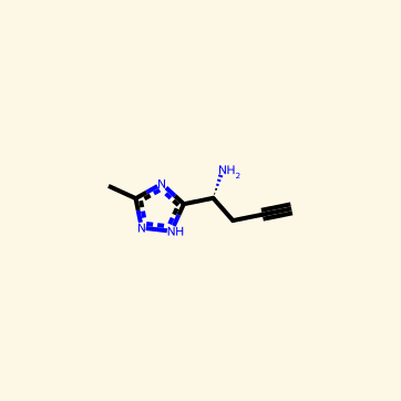 C#CC[C@@H](N)c1nc(C)n[nH]1